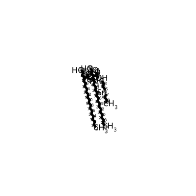 CCCCCCCCCCCCCCCCCC/C(=C/C(=O)O)C(=O)O.CCCCCCCCCCCCCCCCCC/C(=C/C(=O)O)C(=O)O.CCC[CH2][Sn][CH2]CCC